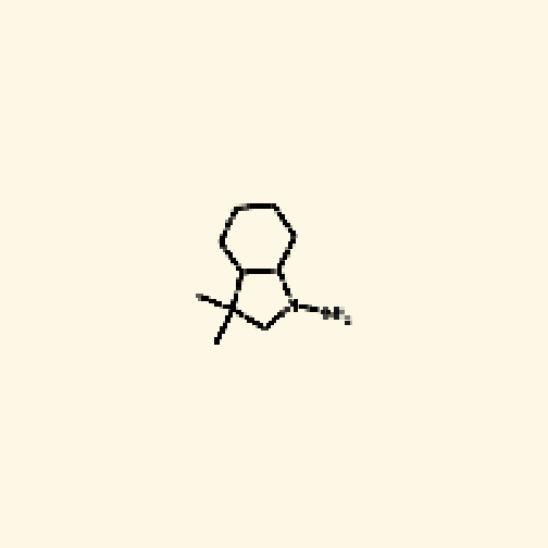 CC1(C)CN(N)C2CCCCC21